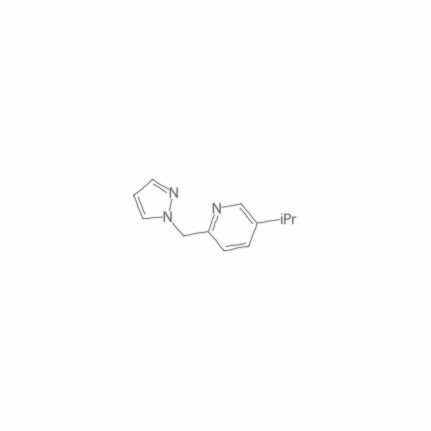 CC(C)c1ccc(Cn2cccn2)nc1